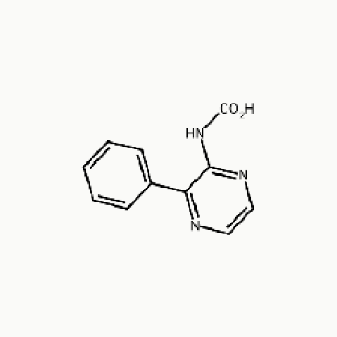 O=C(O)Nc1nccnc1-c1ccccc1